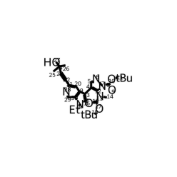 CCn1cc(-c2cnn(C(=O)OC(C)(C)C)c2N(C)C(=O)OC(C)(C)C)c2cc(C#CC(C)(C)O)ncc21